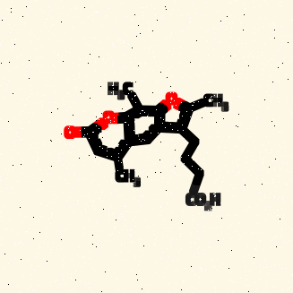 Cc1oc2c(C)c3oc(=O)cc(C)c3cc2c1CCCC(=O)O